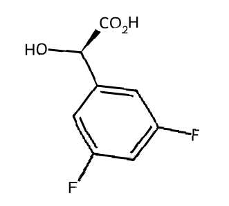 O=C(O)[C@H](O)c1cc(F)cc(F)c1